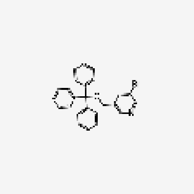 Brc1cncc(COC(c2ccccc2)(c2ccccc2)c2ccccc2)c1